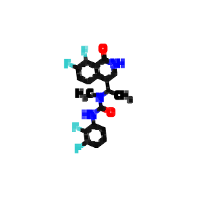 CC(c1c[nH]c(=O)c2c(F)c(F)ccc12)N(C)C(=O)Nc1cccc(F)c1F